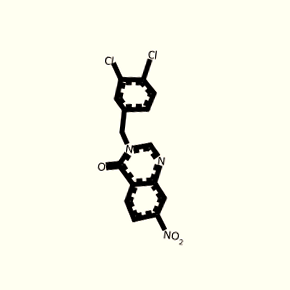 O=c1c2ccc([N+](=O)[O-])cc2ncn1Cc1ccc(Cl)c(Cl)c1